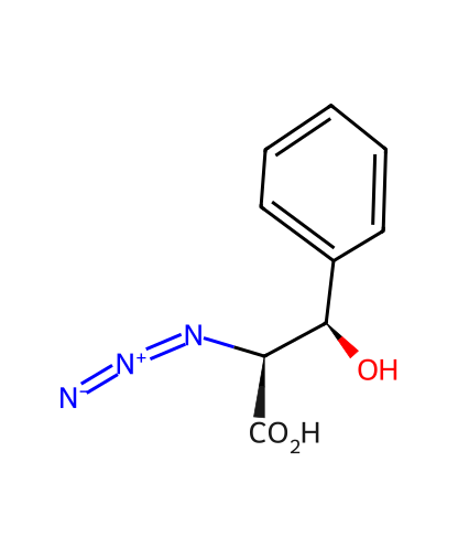 [N-]=[N+]=N[C@H](C(=O)O)[C@H](O)c1ccccc1